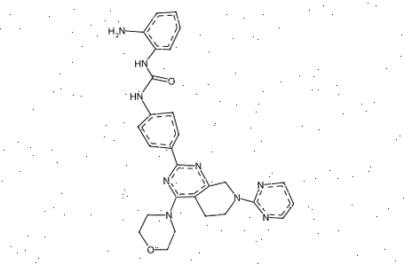 Nc1ccccc1NC(=O)Nc1ccc(-c2nc3c(c(N4CCOCC4)n2)CCN(c2ncccn2)C3)cc1